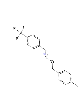 Fc1ccc(CO/N=C/c2ccc(C(F)(F)F)cc2)cc1